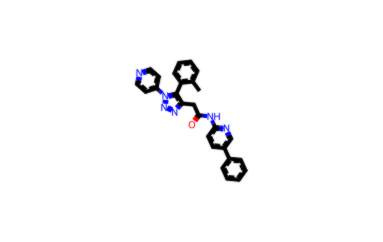 Cc1ccccc1-c1c(CC(=O)Nc2ccc(-c3ccccc3)cn2)nnn1-c1ccncc1